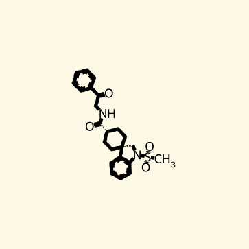 CS(=O)(=O)N1C[C@]2(CC[C@@H](C(=O)NCC(=O)c3ccccc3)CC2)c2ccccc21